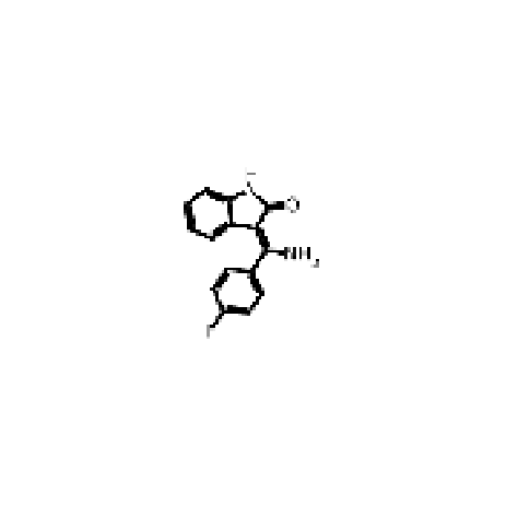 N/C(=C1\C(=O)Nc2ccccc21)c1ccc(I)cc1